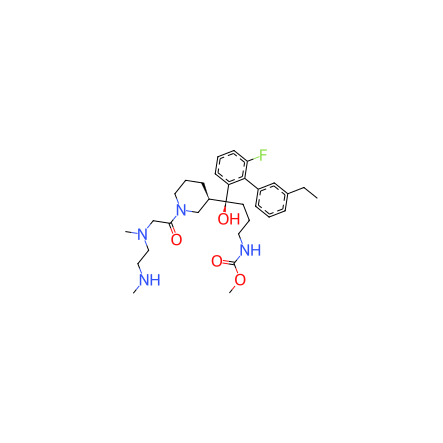 CCc1cccc(-c2c(F)cccc2[C@](O)(CCCNC(=O)OC)[C@@H]2CCCN(C(=O)CN(C)CCNC)C2)c1